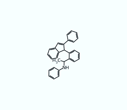 CC(Nc1ccccc1)c1ccccc1C1C(c2ccccc2)=Cc2ccccc21